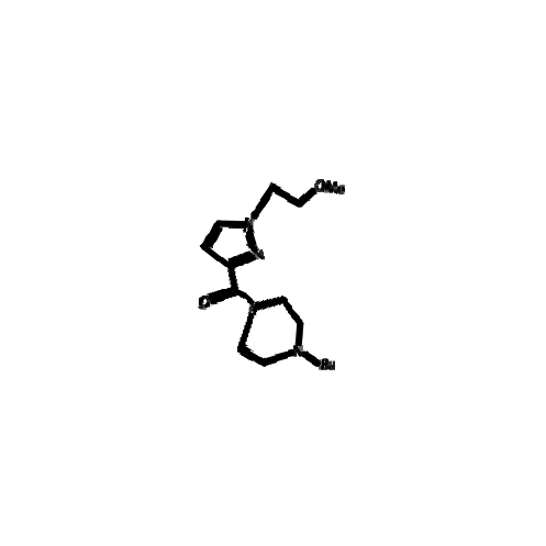 CCC(C)N1CCN(C(=O)c2ccn(CCOC)n2)CC1